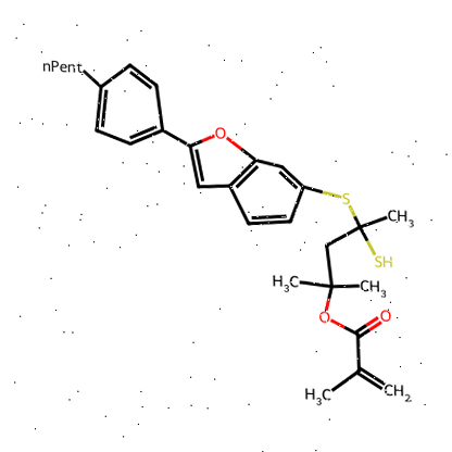 C=C(C)C(=O)OC(C)(C)CC(C)(S)Sc1ccc2cc(-c3ccc(CCCCC)cc3)oc2c1